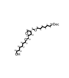 CCCCCCCCCCCCCCCCOC[C@H]1CO[C@H](COCCCCCCO)C1